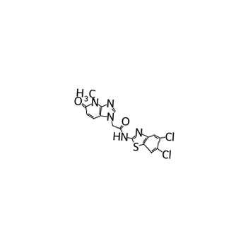 Cn1c(=O)ccc2c1ncn2CC(=O)Nc1nc2cc(Cl)c(Cl)cc2s1